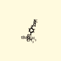 CC(C)(C)[Si](C)(C)OCc1ccc(CN=[N+]=[N-])cc1